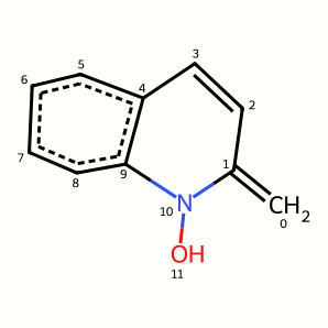 C=C1C=Cc2ccccc2N1O